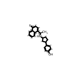 C[C@@H](NC1CCC(c2ccc(O)cc2)C1)c1ccc(F)c2ccccc12